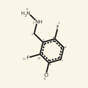 NNCc1c(F)ccc(Cl)c1F